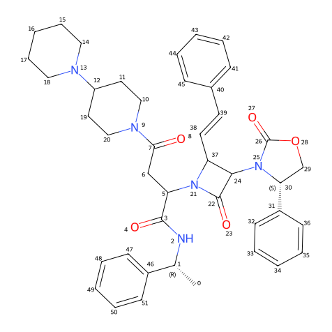 C[C@@H](NC(=O)C(CC(=O)N1CCC(N2CCCCC2)CC1)N1C(=O)C(N2C(=O)OC[C@@H]2c2ccccc2)C1C=Cc1ccccc1)c1ccccc1